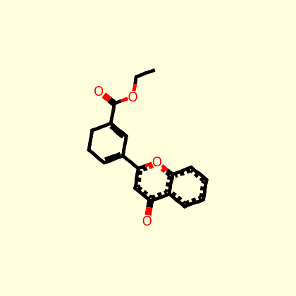 CCOC(=O)C1=CC(c2cc(=O)c3ccccc3o2)=CCC1